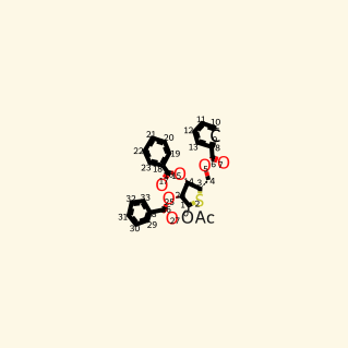 CC(=O)O[C@H]1S[C@@H](COC(=O)c2ccccc2)[C@@H](OC(=O)c2ccccc2)[C@H]1OC(=O)c1ccccc1